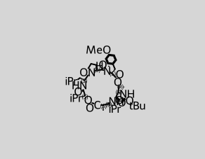 COc1ccc(C[C@H]2C(=O)O[C@H](C)[C@H](NC(=O)OC(C)(C)C)C(=O)N[C@H](C(C)C)[C@@H](C)CC(=O)O[C@@H](C(C)C)C(=O)N[C@@H](CC(C)C)C(=O)N3CCC[C@H]3C(=O)N2C)cc1